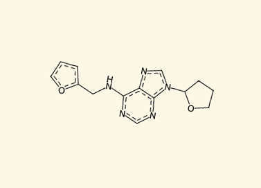 c1coc(CNc2ncnc3c2ncn3C2CCCO2)c1